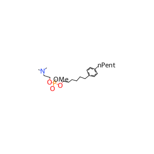 CCCCCc1ccc(CCCCCCOP(=O)(OC)OCCN(C)C)cc1